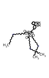 CCCCCCCC/C=C\CCCCCCCC(=O)OCC(COC(=O)CCCCCCC/C=C\CCCCCCCC)(COC(=O)CCCCCCC/C=C\CCCCCCCC)NC(=O)CCN1CCC2(CC1)NC(=O)Nc1ccccc12